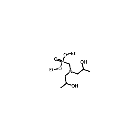 CCOP(=O)(CN(CC(C)O)CC(C)O)OCC